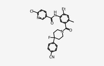 CCc1cc(C)c(C(=O)N2CCC(F)(c3ccc(C#N)cc3)CC2)cc1NC(=O)c1ccc(Cl)nc1